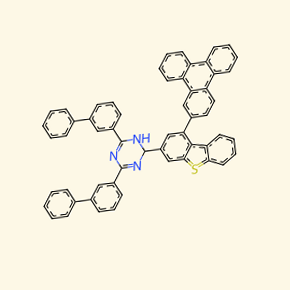 c1ccc(-c2cccc(C3=NC(c4cc(-c5ccc6c7ccccc7c7ccccc7c6c5)c5c(c4)sc4ccccc45)NC(c4cccc(-c5ccccc5)c4)=N3)c2)cc1